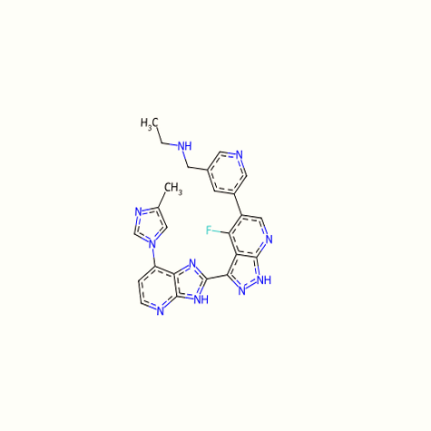 CCNCc1cncc(-c2cnc3[nH]nc(-c4nc5c(-n6cnc(C)c6)ccnc5[nH]4)c3c2F)c1